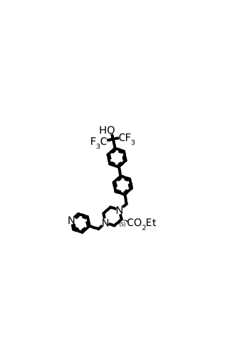 CCOC(=O)[C@@H]1CN(Cc2ccncc2)CCN1Cc1ccc(-c2ccc(C(O)(C(F)(F)F)C(F)(F)F)cc2)cc1